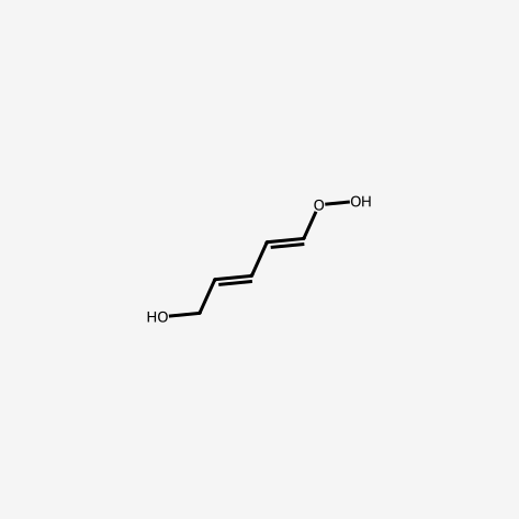 OCC=CC=COO